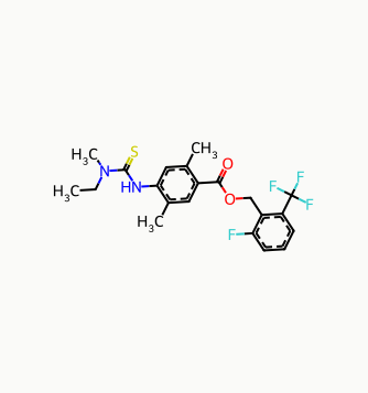 CCN(C)C(=S)Nc1cc(C)c(C(=O)OCc2c(F)cccc2C(F)(F)F)cc1C